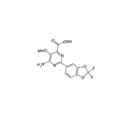 COC(=O)c1nc(-c2ccc3c(c2)OC(F)(F)O3)nc(N)c1OC